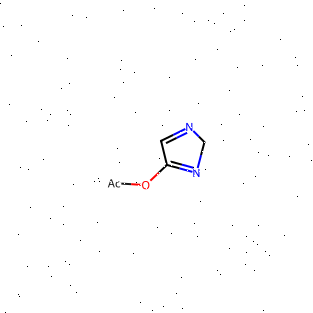 CC(=O)OC1=NCN=C1